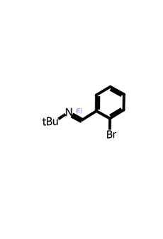 CC(C)(C)/N=C/c1ccccc1Br